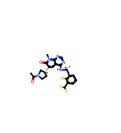 CC(=O)N1CC[C@@H](c2cc3c(N[C@H](C)c4cccc(C(F)F)c4F)ncnc3n(C)c2=O)C1